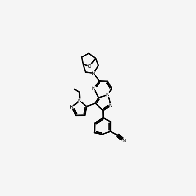 CCn1nccc1-c1c(-c2cccc(C#N)c2)nn2ccc(N3CC4CCC(C3)O4)nc12